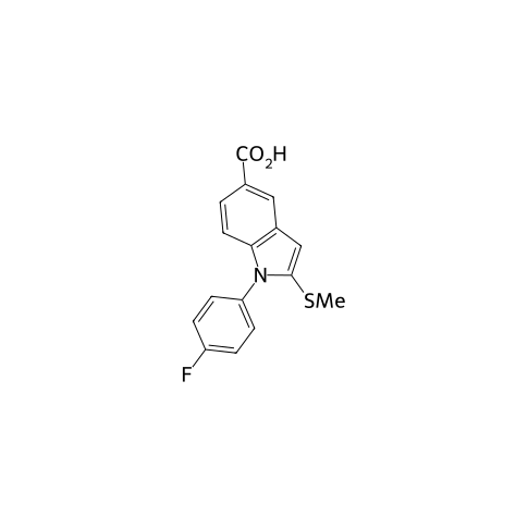 CSc1cc2cc(C(=O)O)ccc2n1-c1ccc(F)cc1